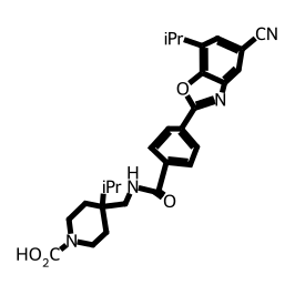 CC(C)c1cc(C#N)cc2nc(-c3ccc(C(=O)NCC4(C(C)C)CCN(C(=O)O)CC4)cc3)oc12